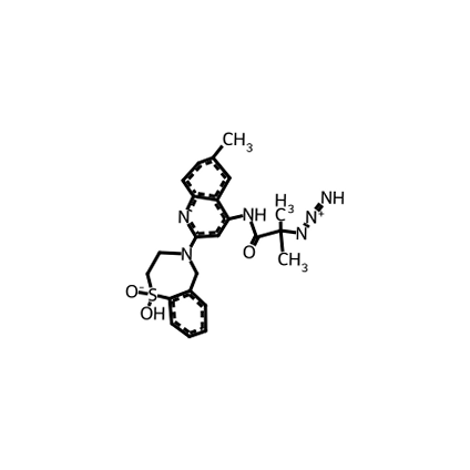 Cc1ccc2nc(N3CCS([O-])(O)c4ccccc4C3)cc(NC(=O)C(C)(C)N=[N+]=N)c2c1